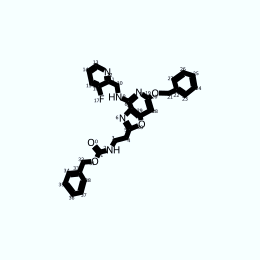 O=C(NCCc1nc2c(NCc3ncccc3F)nc(OCc3ccccc3)cc2o1)OCc1ccccc1